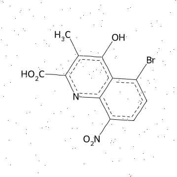 Cc1c(C(=O)O)nc2c([N+](=O)[O-])ccc(Br)c2c1O